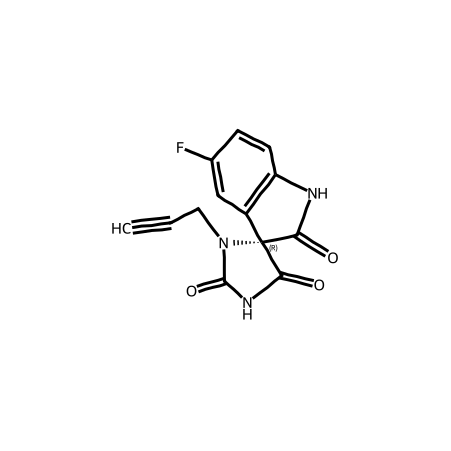 C#CCN1C(=O)NC(=O)[C@@]12C(=O)Nc1ccc(F)cc12